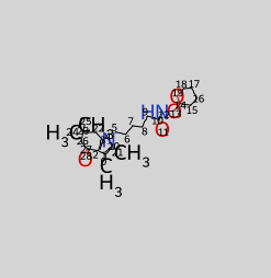 Cc1c2c(n(CCCCCC(=O)NOC3CCCCO3)c1C)CC(C)(C)CC2=O